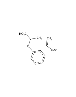 C=COC(C)=O.CC(Oc1ccccc1)C(=O)O